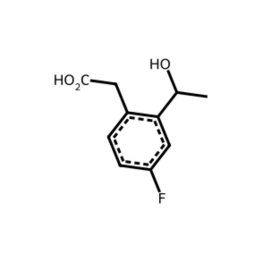 CC(O)c1cc(F)ccc1CC(=O)O